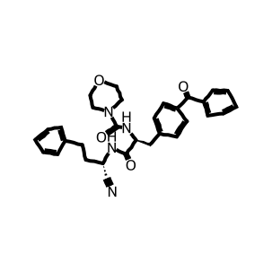 N#C[C@H](CCc1ccccc1)NC(=O)[C@H](Cc1ccc(C(=O)c2ccccc2)cc1)NC(=O)N1CCOCC1